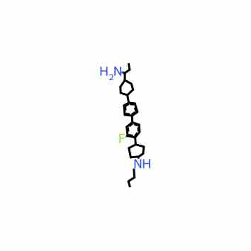 CCCCNC1CCC(c2ccc(-c3ccc(C4CCC(C(N)CC)CC4)cc3)cc2F)CC1